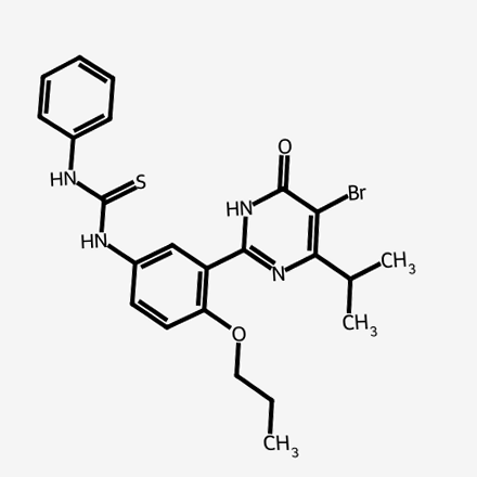 CCCOc1ccc(NC(=S)Nc2ccccc2)cc1-c1nc(C(C)C)c(Br)c(=O)[nH]1